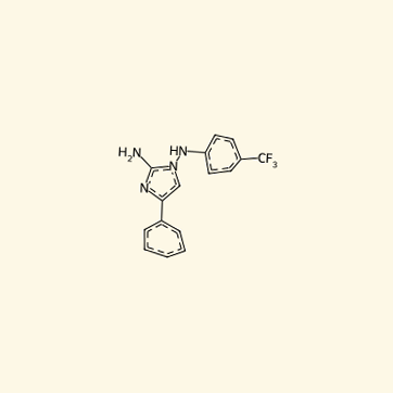 Nc1nc(-c2ccccc2)cn1Nc1ccc(C(F)(F)F)cc1